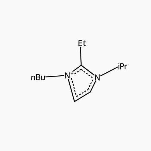 CCCC[n+]1ccn(C(C)C)c1CC